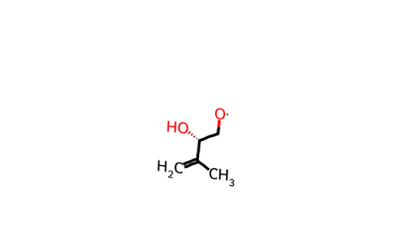 C=C(C)[C@H](O)C[O]